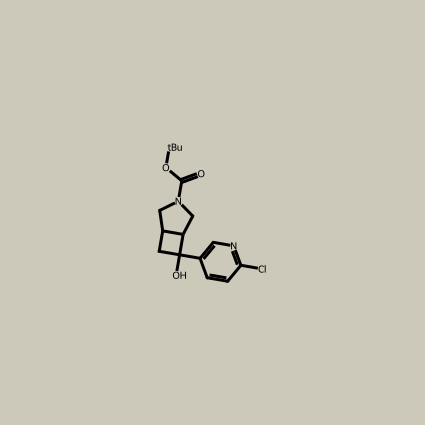 CC(C)(C)OC(=O)N1CC2CC(O)(c3ccc(Cl)nc3)C2C1